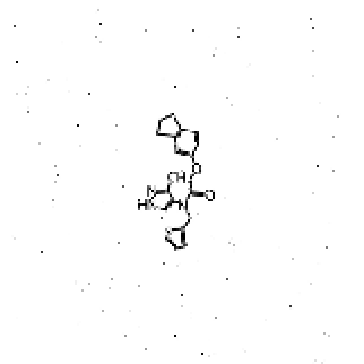 Cc1n[nH]cc1N(Cc1cccs1)C(=O)COc1ccc2c(c1)CCC2